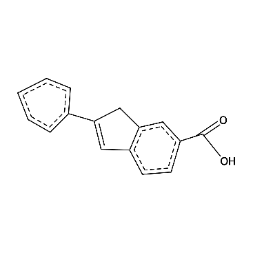 O=C(O)c1ccc2c(c1)CC(c1ccccc1)=C2